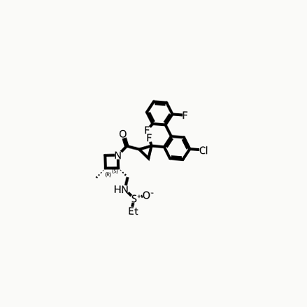 CC[S+]([O-])NC[C@@H]1[C@H](C)CN1C(=O)C1CC1(F)c1ccc(Cl)cc1-c1c(F)cccc1F